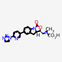 CN(C[C@@H]1OC(=O)N2c3ccc(-c4ccc(-n5ccnn5)nc4)cc3C[C@@H]12)C(=O)O